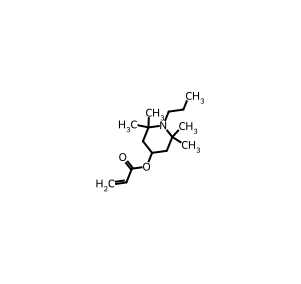 C=CC(=O)OC1CC(C)(C)N(CCC)C(C)(C)C1